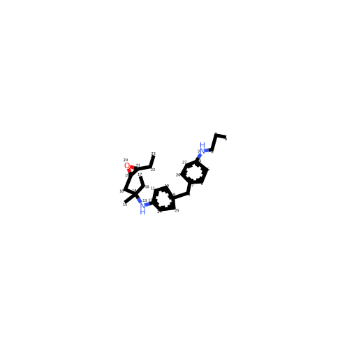 CCCNc1ccc(Cc2ccc(NC(C)(CC)CC3OC3CC)cc2)cc1